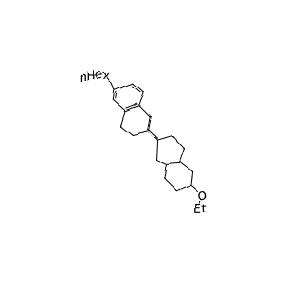 CCCCCCc1ccc2c(c1)CCC(C1CCC3CC(OCC)CCC3C1)C2